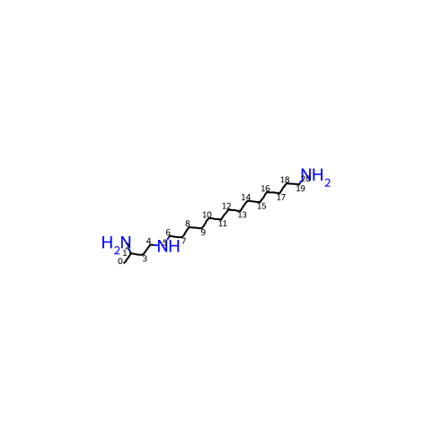 CC(N)CCNCCCCCCCCCCCCCCN